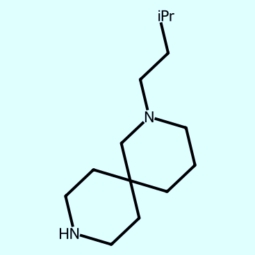 CC(C)CCN1CCCC2(CCNCC2)C1